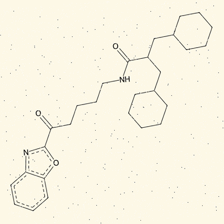 O=C(CCCCNC(=O)C(CC1CCCCC1)CC1CCCCC1)c1nc2ccccc2o1